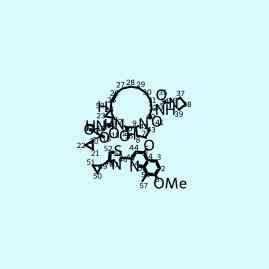 COc1ccc2c(O[C@@H]3C[C@H]4C(=O)N[C@]5(C(=O)NS(=O)(=O)C6CC6)C[C@H]5C=CCCCCC[C@H](NC(=O)N5CCC5)C(=O)N4C3)cc(-c3nc(C4CC4)cs3)nc2c1C